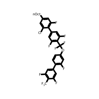 CCCCCCCCc1cc(F)c(-c2cc(F)c(C(F)(F)Oc3ccc(-c4cc(F)c(C(F)(F)F)c(F)c4)c(F)c3)c(F)c2)c(Cl)c1